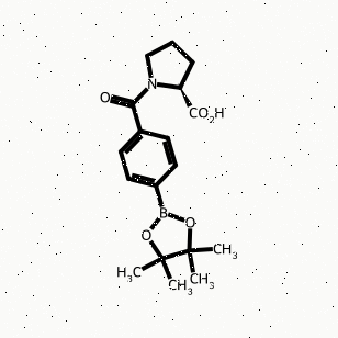 CC1(C)OB(c2ccc(C(=O)N3CCC[C@H]3C(=O)O)cc2)OC1(C)C